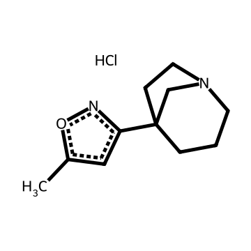 Cc1cc(C23CCCN(CC2)C3)no1.Cl